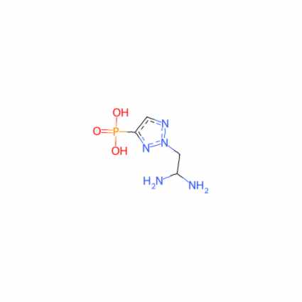 NC(N)Cn1ncc(P(=O)(O)O)n1